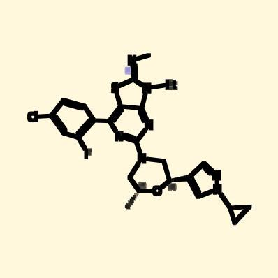 CCn1/c(=N\C)sc2c(-c3ccc(Cl)cc3F)nc(N3C[C@@H](C)O[C@H](c4cnn(C5CC5)c4)C3)nc21